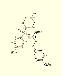 COc1ccc(CCNC(=O)[C@H]2CN(C(C)=O)CCN2S(=O)(=O)c2ccc(C(C)C)cc2)cc1